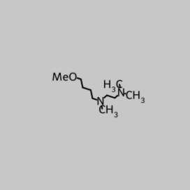 COCCCCN(C)CCN(C)C